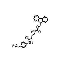 O=C(CCCNC(=O)OCC1c2ccccc2-c2ccccc21)Nc1ccc(CO)cc1